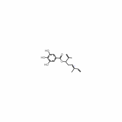 C=C/C(C)=C/CC(OC(=O)c1cc(O)c(O)c(O)c1)C(=C)C